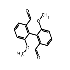 COc1cccc(C=O)c1-c1c(C=O)cccc1OC